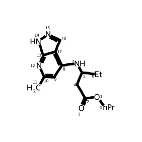 CCCOC(=O)CC(CC)Nc1cc(C)nc2[nH]ncc12